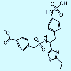 CCc1nc(C(Cc2ccc(NS(=O)(=O)O)cc2)NS(=O)(=O)Cc2ccc(C(=O)OC)cc2)cs1